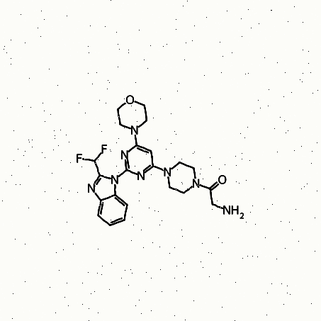 NCC(=O)N1CCN(c2cc(N3CCOCC3)nc(-n3c(C(F)F)nc4ccccc43)n2)CC1